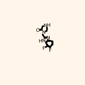 O=C1CNCCN1Cc1nc2ccc(F)c(F)c2[nH]1